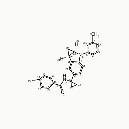 Cc1nccc(N2c3ccc(C4(NC(=O)c5ccc(F)cc5)CC4)cc3[C@H]3C[C@H]32)n1